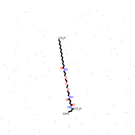 O=[C]CCC(NC(=O)CCC(=O)NCCCOCCOCCOCCCNC(=O)CCCCCCCCCCCCCCC(=O)O)C(=O)O